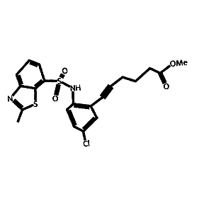 COC(=O)CCCC#Cc1cc(Cl)ccc1NS(=O)(=O)c1cccc2nc(C)sc12